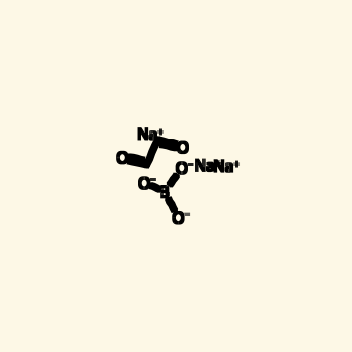 O=CC=O.[Na+].[Na+].[Na+].[O-]B([O-])[O-]